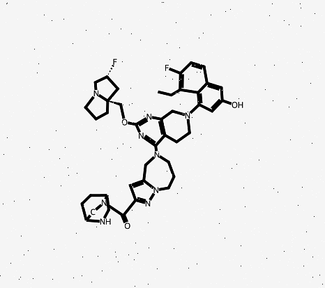 CCc1c(F)ccc2cc(O)cc(N3CCc4c(nc(OC[C@@]56CCCN5C[C@H](F)C6)nc4N4CCCn5nc(C(=O)N6CC7CCC6CN7)cc5C4)C3)c12